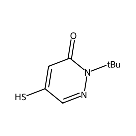 CC(C)(C)n1ncc(S)cc1=O